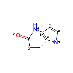 O=c1ccc2c([nH]1)C=C[N]2